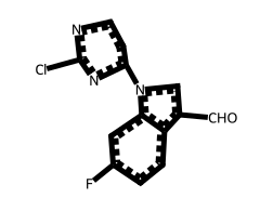 O=Cc1cn(-c2ccnc(Cl)n2)c2cc(F)ccc12